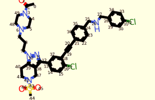 CC(=O)N1CCN(CCCn2nc(-c3ccc(Cl)c(C#Cc4ccc(CNCc5ccc(Cl)cc5)cc4)c3)c3c2CCN(S(C)(=O)=O)C3)CC1